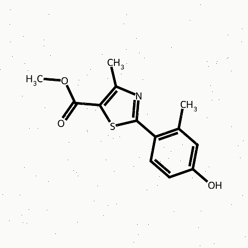 COC(=O)c1sc(-c2ccc(O)cc2C)nc1C